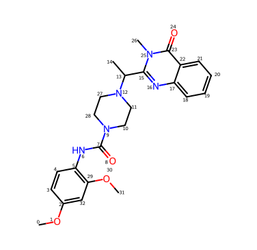 COc1ccc(NC(=O)N2CCN(C(C)c3nc4ccccc4c(=O)n3C)CC2)c(OC)c1